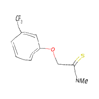 CNC(=S)COc1cccc(C(F)(F)F)c1